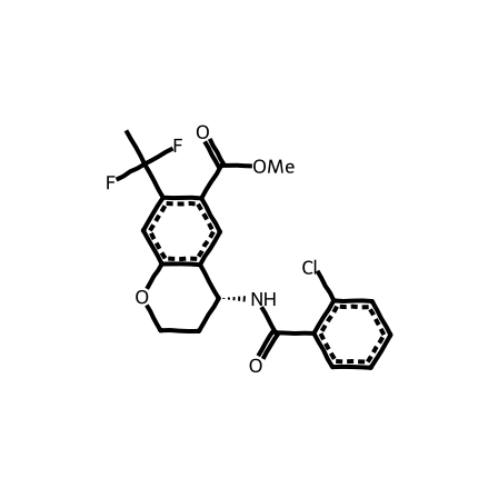 COC(=O)c1cc2c(cc1C(C)(F)F)OCC[C@H]2NC(=O)c1ccccc1Cl